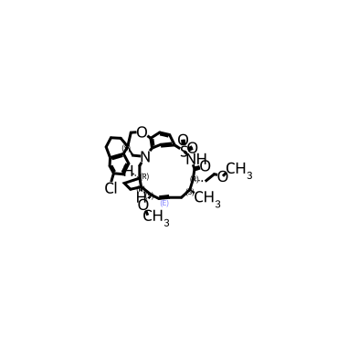 COCC[C@H]1C(=O)NS(=O)(=O)c2ccc3c(c2)N(C[C@@H]2CC[C@H]2[C@H](OC)/C=C/C[C@@H]1C)C[C@@]1(CCCc2cc(Cl)ccc21)CO3